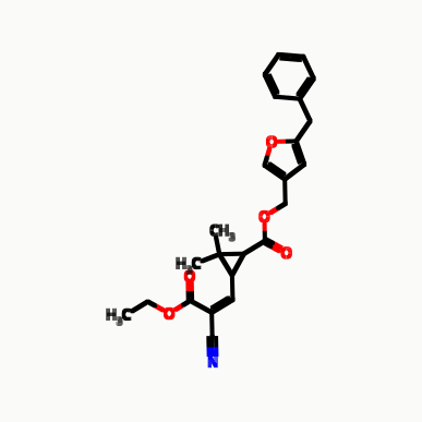 CCOC(=O)C(C#N)=CC1C(C(=O)OCc2coc(Cc3ccccc3)c2)C1(C)C